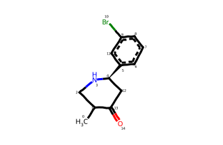 CC1CN[C@@H](c2cccc(Br)c2)CC1=O